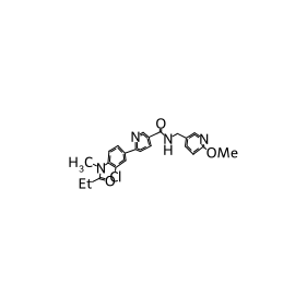 CCC(=O)N(C)c1ccc(-c2ccc(C(=O)NCc3ccc(OC)nc3)cn2)cc1Cl